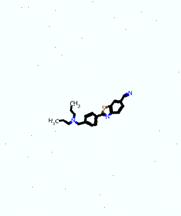 CCCN(CCC)Cc1ccc(-c2nc3ccc(C#N)cc3s2)cc1